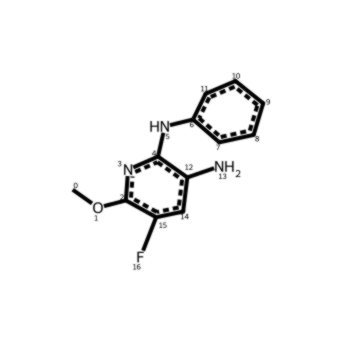 COc1nc(Nc2ccccc2)c(N)cc1F